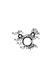 CC[C@H]1OC(=O)[C@H](C)[C@@H](OC2CC(C)(OC)C(O)C(C)O2)[C@H](C)[C@@H](OC2CC(N(C)C)CC(C)O2)[C@@](C)(O)C[C@@H](C)CN(C)[C@H](C)[C@@H](O)[C@]1(C)O